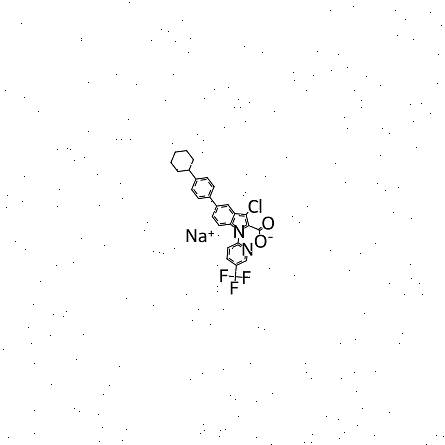 O=C([O-])c1c(Cl)c2cc(-c3ccc(C4CCCCC4)cc3)ccc2n1-c1ccc(C(F)(F)F)cn1.[Na+]